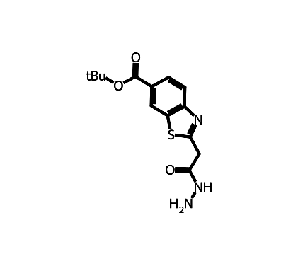 CC(C)(C)OC(=O)c1ccc2nc(CC(=O)NN)sc2c1